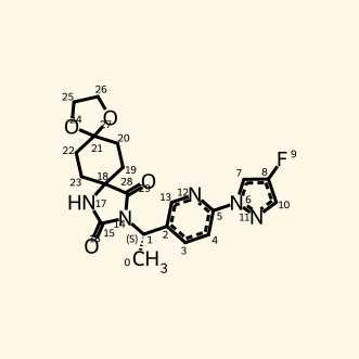 C[C@@H](c1ccc(-n2cc(F)cn2)nc1)N1C(=O)NC2(CCC3(CC2)OCCO3)C1=O